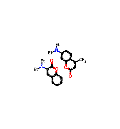 CCN(CC)c1cc2ccccc2oc1=O.CCN(CC)c1ccc2c(C(F)(F)F)cc(=O)oc2c1